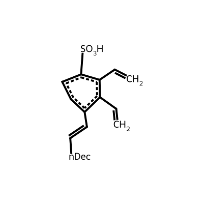 C=Cc1c(C=CCCCCCCCCCC)ccc(S(=O)(=O)O)c1C=C